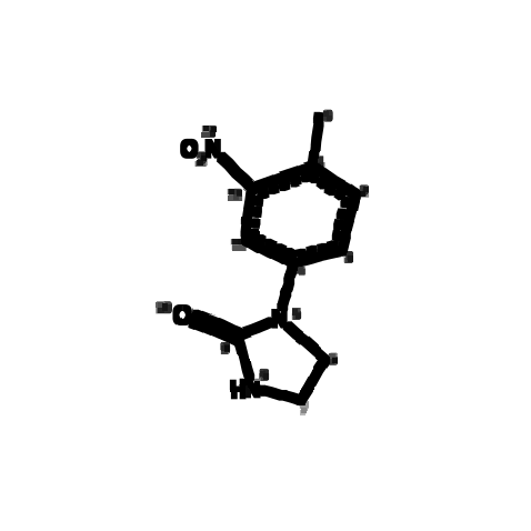 Cc1ccc(N2CCNC2=O)cc1[N+](=O)[O-]